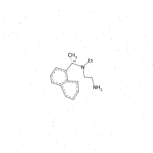 CCN(CCN)[C@@H](C)c1cccc2ccccc12